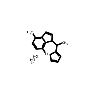 Cc1ccc(C)c2c1C=CC2C(C)C1=CC=CC1.Cl.Cl.[Zr]